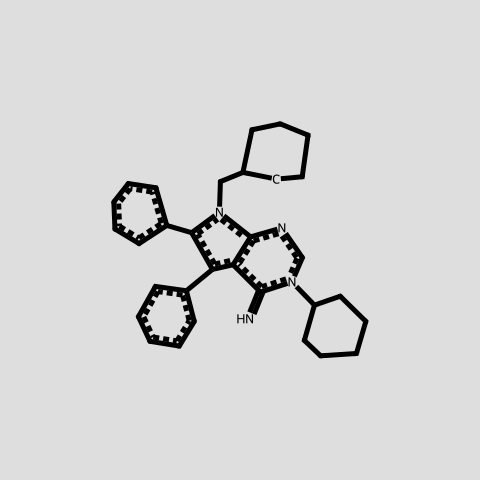 N=c1c2c(-c3ccccc3)c(-c3ccccc3)n(CC3CCCCC3)c2ncn1C1CCCCC1